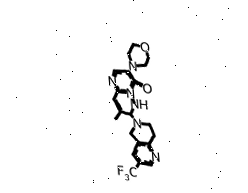 CC1=Cc2ncc(N3CCOCC3)c(=O)n2NC1N1CCc2ncc(C(F)(F)F)cc2C1